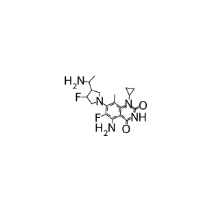 Cc1c(N2CC(F)C(C(C)N)C2)c(F)c(N)c2c(=O)[nH]c(=O)n(C3CC3)c12